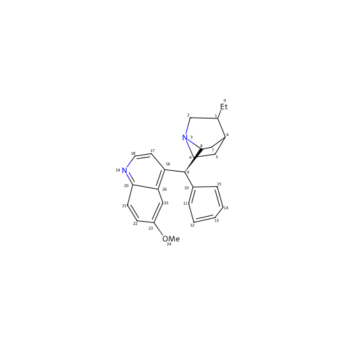 CCC1CN2CCC1CC2[C@@H](c1ccccc1)c1ccnc2ccc(OC)cc12